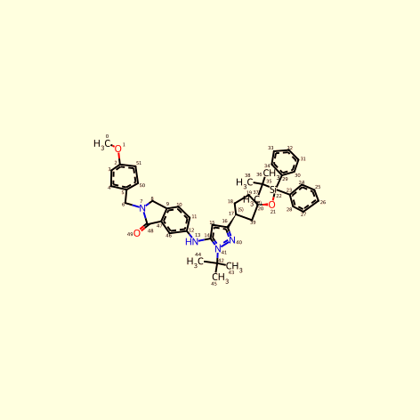 COc1ccc(CN2Cc3ccc(Nc4cc([C@H]5CC[C@@H](O[Si](c6ccccc6)(c6ccccc6)C(C)(C)C)C5)nn4C(C)(C)C)cc3C2=O)cc1